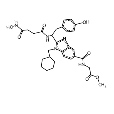 COC(=O)CNC(=O)c1ccc2c(c1)nc(C(Cc1ccc(O)cc1)NC(=O)CCC(=O)NO)n2CC1CCCCC1